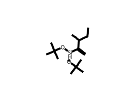 C=C(C(C)CC)[SiH](OC(C)(C)C)OC(C)(C)C